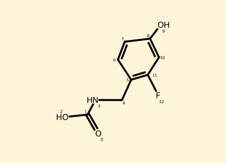 O=C(O)NCc1ccc(O)cc1F